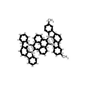 Cc1ccc2c(c1)-c1ccc3c4cc(C)ccc4n4c3c1B2c1c-4c2cccc3c4c(c5cccc1c5c32)-n1c2ccccc2c2ccc3c(c21)B4c1ccccc1-3